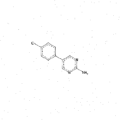 Nc1ncc(-c2ccc(Cl)cc2)cn1